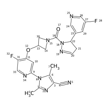 Cc1nc(C#N)c(C)n1-c1cc(OC2CN(C(=O)N3N=CCC3c3cncc(F)c3)C2)c(F)cn1